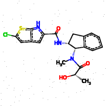 C[C@H](O)C(=O)N(C)[C@H]1c2ccccc2C[C@H]1NC(=O)c1cc2cc(Cl)sc2[nH]1